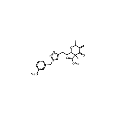 C=C1C(=O)C(C)(C(=O)OC)C(CCc2cn(Cc3cccc(OC)c3)nn2)OC1C